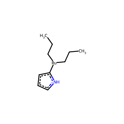 CC[CH2][Ru]([CH2]CC)[c]1ccc[nH]1